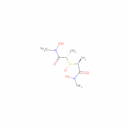 C[C@@H](C(=O)N(C)O)[S+]([O-])[C@@H](C)C(=O)N(C)O